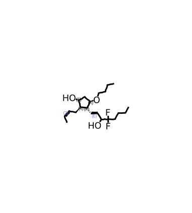 C/C=C\C[C@@H]1[C@@H](/C=C/C(O)C(F)(F)CCCC)[C@H](OCCCC)C[C@@H]1O